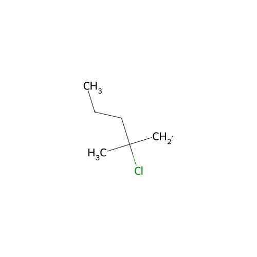 [CH2]C(C)(Cl)CCC